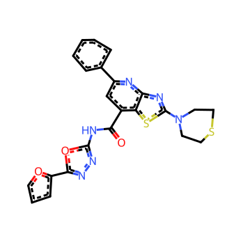 O=C(Nc1nnc(-c2ccco2)o1)c1cc(-c2ccccc2)nc2nc(N3CCSCC3)sc12